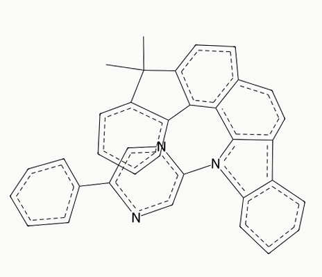 CC1(C)c2ccccc2-c2c1ccc1ccc3c4ccccc4n(-c4cnc(-c5ccccc5)cn4)c3c21